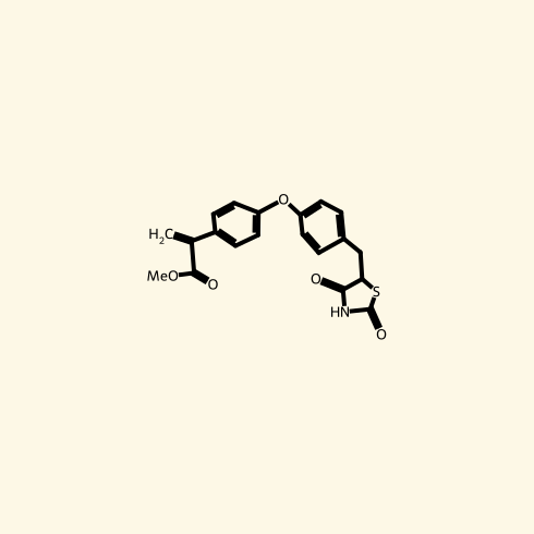 C=C(C(=O)OC)c1ccc(Oc2ccc(CC3SC(=O)NC3=O)cc2)cc1